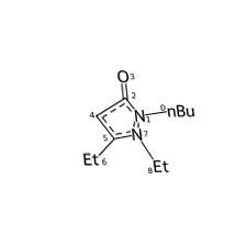 CCCCn1c(=O)cc(CC)n1CC